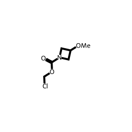 COC1CN(C(=O)OCCl)C1